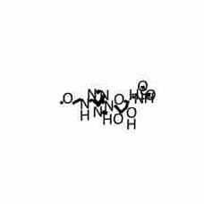 COCCNc1ncnc2c1ncn2[C@@H]1O[C@H](CN[SH](=O)=O)[C@@H](O)[C@H]1O